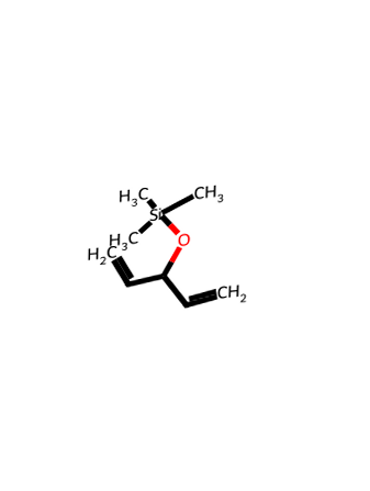 C=CC(C=C)O[Si](C)(C)C